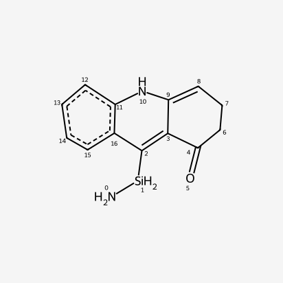 N[SiH2]C1=C2C(=O)CCC=C2Nc2ccccc21